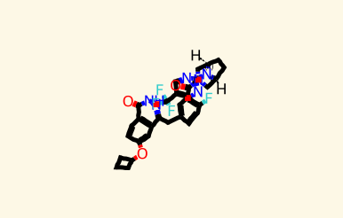 O=C(c1cc(Cc2n[nH]c(=O)c3ccc(OC4CCC4)cc23)ccc1F)N1C[C@H]2CC[C@@H](C1)N2c1ncc(C(F)(F)F)cn1